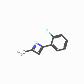 CC1=NC(c2ccccc2F)=C1